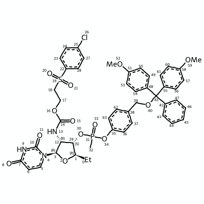 CC[C@H]1O[C@@H](n2ccc(=O)[nH]c2=O)[C@H](NC(=O)OCCS(=O)(=O)c2ccc(Cl)cc2)[C@@H]1OP(C)(=O)Oc1ccc(COC(c2ccccc2)(c2ccc(OC)cc2)c2ccc(OC)cc2)cc1